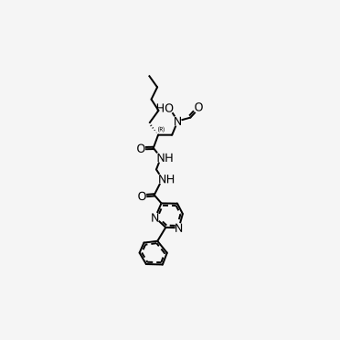 CCCCC[C@H](CN(O)C=O)C(=O)NCNC(=O)c1ccnc(-c2ccccc2)n1